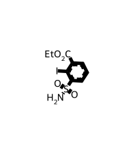 CCOC(=O)c1cccc(S(N)(=O)=O)c1I